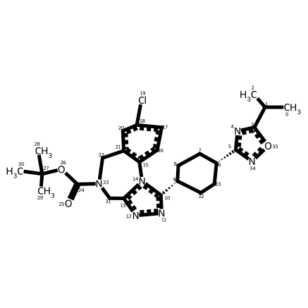 CC(C)c1nc([C@H]2CC[C@@H](c3nnc4n3-c3ccc(Cl)cc3CN(C(=O)OC(C)(C)C)C4)CC2)no1